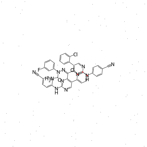 N#Cc1ccc(Nc2ncc(-c3ccccc3Cl)c(C(=NN(C(N)=O)c3cccc(F)c3)c3nc(Nc4ccc(C#N)cc4)ncc3-c3ccccc3Cl)n2)cc1